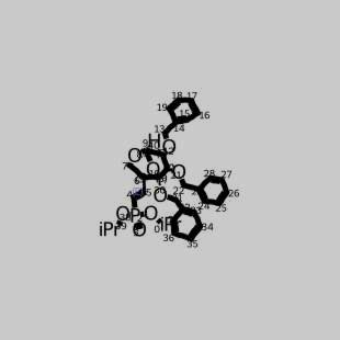 CC(C)OP(=O)(/C=C/[C@@]12CO[C@@H](O1)[C@@H](OCc1ccccc1)[C@@H](OCc1ccccc1)[C@@H]2OCc1ccccc1)OC(C)C